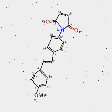 COc1ccc(C=Cc2ccc(N3C(=O)C=CC3=O)cc2)cc1